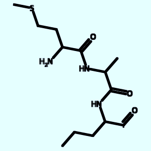 CCCC([C]=O)NC(=O)C(C)NC(=O)C(N)CCSC